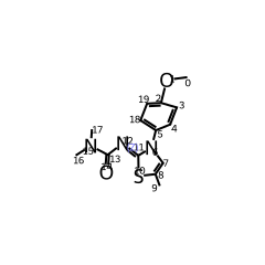 COc1ccc(-n2cc(C)s/c2=N\C(=O)N(C)C)cc1